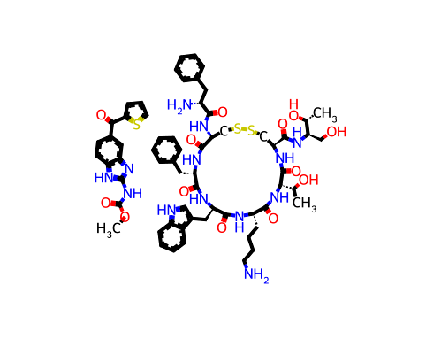 CC(O)[C@@H]1NC(=O)[C@H](CCCCN)NC(=O)[C@@H](Cc2c[nH]c3ccccc23)NC(=O)[C@H](Cc2ccccc2)NC(=O)[C@@H](NC(=O)[C@H](N)Cc2ccccc2)CSSC[C@@H](C(=O)N[C@H](CO)[C@@H](C)O)NC1=O.COC(=O)Nc1nc2cc(C(=O)c3cccs3)ccc2[nH]1